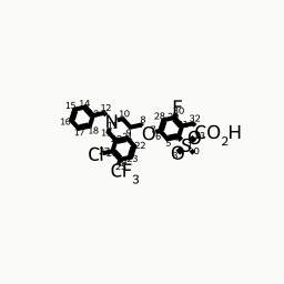 CS(=O)(=O)c1cc(OCCCN(Cc2ccccc2)Cc2cccc(C(F)(F)F)c2Cl)cc(F)c1CC(=O)O